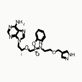 C[C@H](Cn1cnc2c(N)ncnc21)OCP(=O)(NCCOCc1cn[nH]c1)Oc1ccccc1